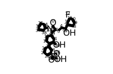 O=C1[C@H](CC[C@H](O)c2cccc(F)c2)[C@@H](c2ccc(-c3cccc(S(=O)(=O)O)c3)c(O)c2)N1c1ccccc1